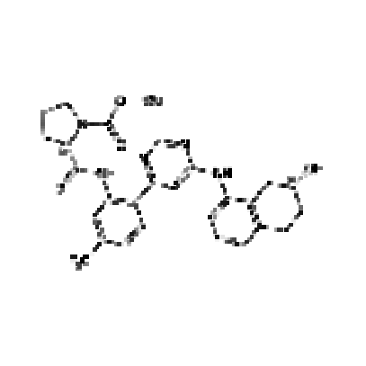 CC(C)(C)OC(=O)N1CCC[C@H]1C(=O)Nc1cc(C(F)(F)F)ccc1-c1cc(Nc2cccc3c2C[C@H](O)CC3)ncn1